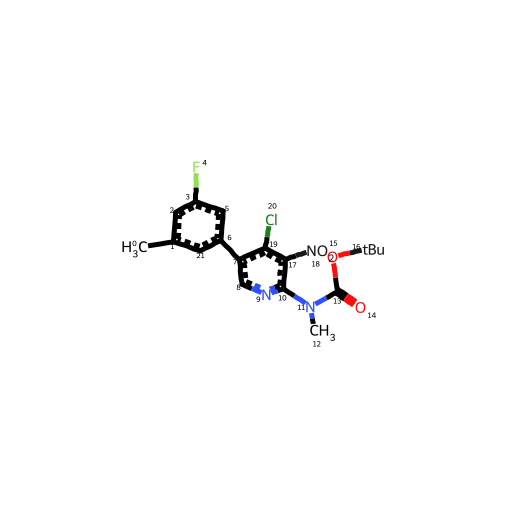 Cc1cc(F)cc(-c2cnc(N(C)C(=O)OC(C)(C)C)c([N+](=O)[O-])c2Cl)c1